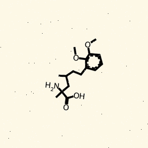 COc1cccc(CCC(C)CC(C)(N)C(=O)O)c1OC